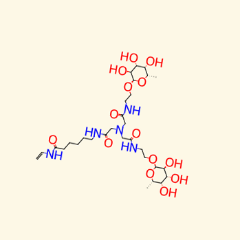 C=CNC(=O)CCCCCNC(=O)CN(CC(=O)NCCO[C@@H]1O[C@@H](C)[C@@H](O)[C@@H](O)[C@@H]1O)CC(=O)NCCO[C@@H]1O[C@@H](C)[C@@H](O)[C@@H](O)[C@@H]1O